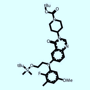 COc1cc(C)c(F)c(N(CCO[Si](C)(C)C(C)(C)C)c2ccc3ncn(C4CCN(C(=O)OC(C)(C)C)CC4)c(=O)c3c2)c1